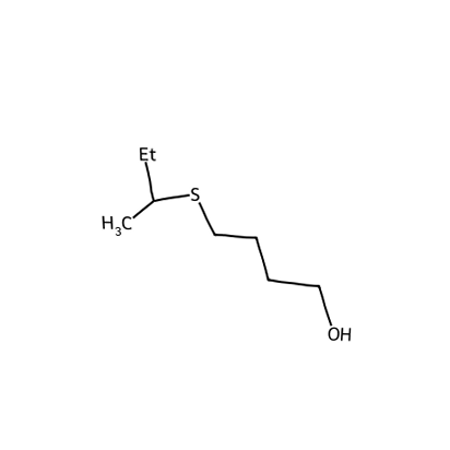 CCC(C)SCCCCO